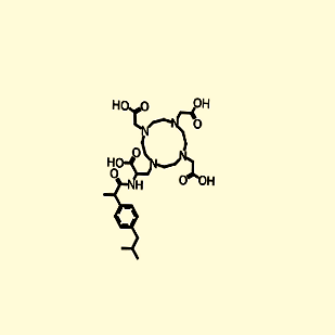 CC(C)Cc1ccc(C(C)C(=O)NC(CN2CCN(CC(=O)O)CCN(CC(=O)O)CCN(CC(=O)O)CC2)C(=O)O)cc1